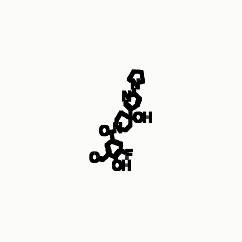 O=Cc1cc(C(=O)N2CCC(O)(c3ccc(N4CCCC4)nc3)CC2)cc(F)c1O